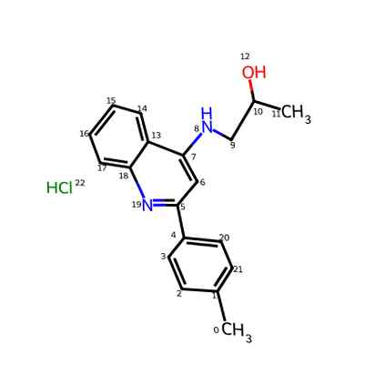 Cc1ccc(-c2cc(NCC(C)O)c3ccccc3n2)cc1.Cl